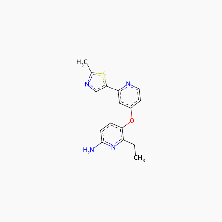 CCc1nc(N)ccc1Oc1ccnc(-c2cnc(C)s2)c1